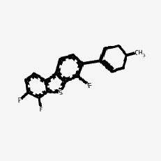 CC1CC=C(c2ccc3c(sc4c(F)c(F)ccc43)c2F)CC1